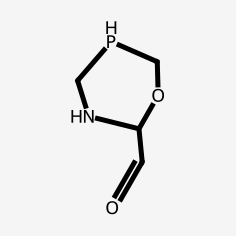 O=CC1NCPCO1